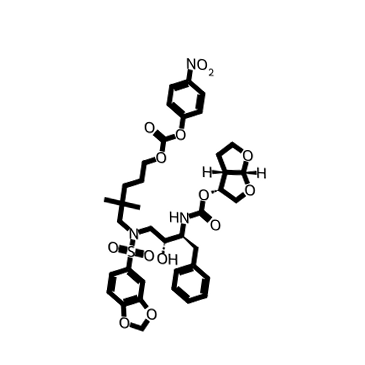 CC(C)(CCCOC(=O)Oc1ccc([N+](=O)[O-])cc1)CN(C[C@@H](O)[C@H](Cc1ccccc1)NC(=O)O[C@H]1CO[C@H]2OCC[C@H]21)S(=O)(=O)c1ccc2c(c1)OCO2